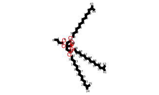 CCCC(=O)OC(CC(=O)OCCCCCCCCCCCCC(C)C)(CC(=O)OCCCCCCCCCCCCC(C)C)C(=O)OCCCCCCCCCCCCC(C)C